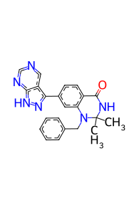 CC1(C)NC(=O)c2ccc(-c3n[nH]c4ncncc34)cc2N1Cc1ccccc1